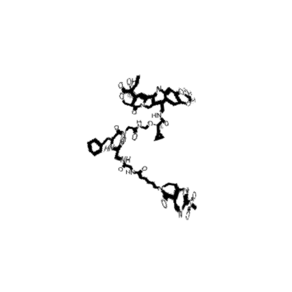 [2H]C1([2H])Oc2cc3nc4c(c(CNC(=O)[C@@H](OCNC(=O)CNC(=O)[C@H](Cc5ccccc5)NC(=O)CNC(=O)CNC(=O)CCCCCN5CCc6nc(S(C)(=O)=O)ncc6C5=O)C5CC5)c3cc2O1)Cn1c-4cc2c(c1=O)COC(=O)[C@]2(O)CC